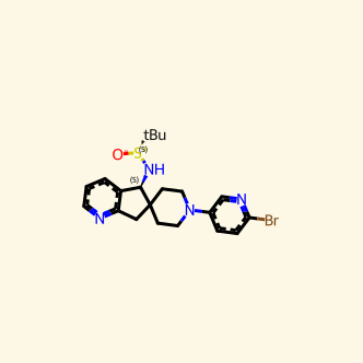 CC(C)(C)[S@@+]([O-])N[C@@H]1c2cccnc2CC12CCN(c1ccc(Br)nc1)CC2